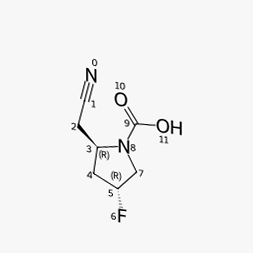 N#CC[C@@H]1C[C@@H](F)CN1C(=O)O